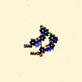 COC(=O)c1cccc(NC(=S)NC2CCN(c3ncnc4cc(Cl)ccc34)CC2)c1.CSc1cccc(NC(=S)NC2CCN(c3ncnc4cc(Cl)ccc34)CC2)c1